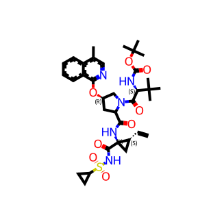 C=C[C@@H]1C[C@]1(NC(=O)C1C[C@@H](Oc2ncc(C)c3ccccc23)CN1C(=O)[C@@H](NC(=O)OC(C)(C)C)C(C)(C)C)C(=O)NS(=O)(=O)C1CC1